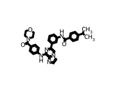 CC(C)c1ccc(C(=O)Nc2cccc(-c3cn4ccnc4c(Nc4ccc(C(=O)N5CCOCC5)cc4)n3)c2)cc1